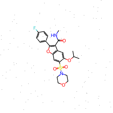 CNC(=O)c1c(-c2ccc(F)cc2)oc2cc(S(=O)(=O)N3CCOCC3)c(OC(C)C)cc12